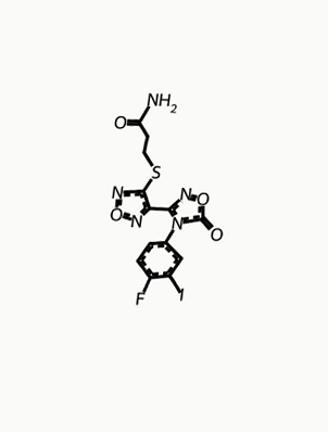 NC(=O)CCSc1nonc1-c1noc(=O)n1-c1ccc(F)c(I)c1